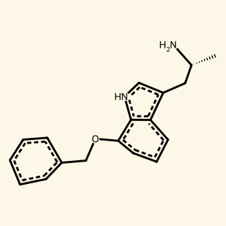 C[C@@H](N)Cc1c[nH]c2c(OCc3ccccc3)cccc12